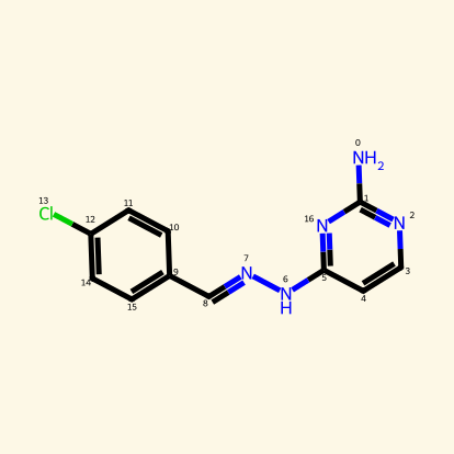 Nc1nccc(NN=Cc2ccc(Cl)cc2)n1